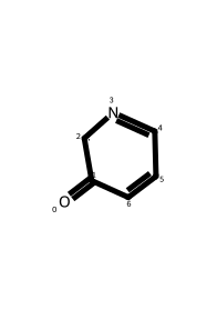 O=C1[C]N=CC=C1